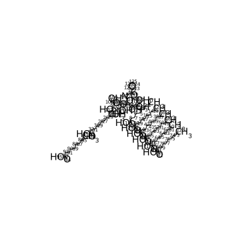 CCCCCCCCCC(=O)O.CCCCCCCCCC(=O)O.CCCCCCCCCC(=O)O.CCCCCCCCCC(=O)O.CCCCCCCCCC(=O)O.CCCCCCCCCC(=O)O.CCCCCCCCCC(=O)O.CCCCCCCCCC(=O)O.N#C[C@H](O[C@@H]1O[C@H](CO[C@@H]2O[C@H](CO)[C@@H](O)[C@H](O)[C@H]2O)[C@@H](O)[C@H](O)[C@H]1O)c1ccccc1